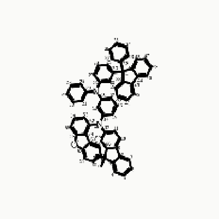 CC1(C)c2ccccc2C2=CC=C(N(c3cccc(N(c4ccccc4)c4cccc(C5(c6ccccc6)c6ccccc6-c6ccccc65)c4)c3)c3cccc4oc5ccccc5c34)CC21